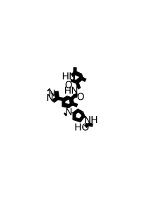 Cc1cc(C)c(CNC(=O)c2cc(-c3cnn(C)c3)cc(N(C)[C@H]3CC[C@H](NC(C)O)CC3)c2C)c(=O)[nH]1